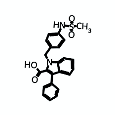 CS(=O)(=O)Nc1ccc(Cn2c(C(=O)O)c(-c3ccccc3)c3ccccc32)cc1